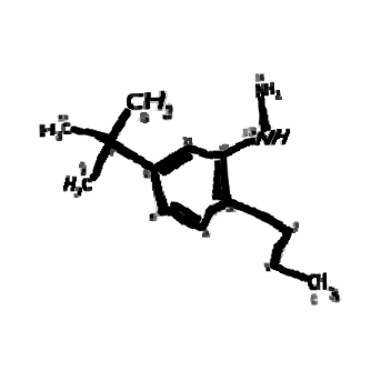 CCCc1ccc(C(C)(C)C)cc1NN